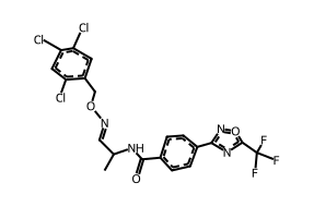 CC(C=NOCc1cc(Cl)c(Cl)cc1Cl)NC(=O)c1ccc(-c2noc(C(F)(F)F)n2)cc1